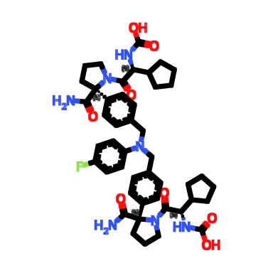 NC(=O)[C@@]1(c2ccc(CN(Cc3ccc([C@]4(C(N)=O)CCCN4C(=O)[C@@H](NC(=O)O)C4CCCC4)cc3)c3ccc(F)cc3)cc2)CCCN1C(=O)[C@@H](NC(=O)O)C1CCCC1